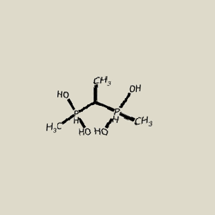 CC([PH](C)(O)O)[PH](C)(O)O